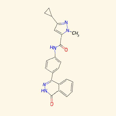 Cn1nc(C2CC2)cc1C(=O)Nc1ccc(-c2n[nH]c(=O)c3ccccc23)cc1